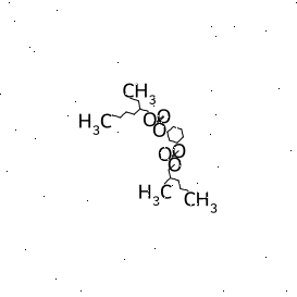 CCCCCC(CCC)COC(=O)OC1CCCC(OC(=O)OCC(CC)CCCC)C1